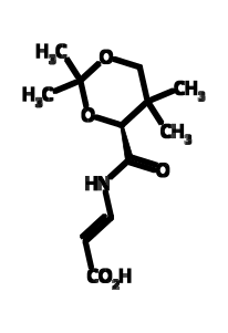 CC1(C)OCC(C)(C)[C@@H](C(=O)N/C=C/C(=O)O)O1